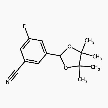 CC1(C)OC(c2cc(F)cc(C#N)c2)OC1(C)C